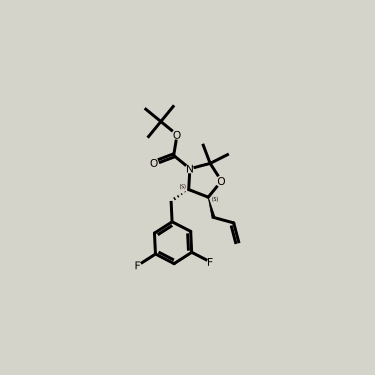 C=CC[C@@H]1OC(C)(C)N(C(=O)OC(C)(C)C)[C@H]1Cc1cc(F)cc(F)c1